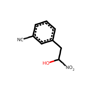 N#Cc1cccc(CC(O)[N+](=O)[O-])c1